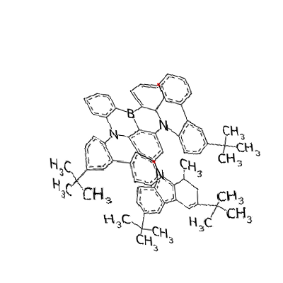 CC1CC(C(C)(C)C)=Cc2c1n(-c1cc3c4c(c1)N(c1ccc(C(C)(C)C)cc1-c1ccccc1)C1CC=CC=C1B4c1ccccc1N3c1ccc(C(C)(C)C)cc1-c1ccccc1)c1ccc(C(C)(C)C)cc21